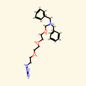 [N-]=[N+]=NCCOCCOCCOCN(Cc1ccccc1)Cc1ccccc1